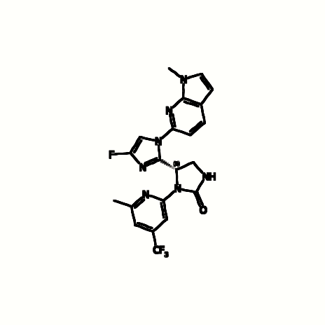 Cc1cc(C(F)(F)F)cc(N2C(=O)NC[C@H]2c2nc(F)cn2-c2ccc3ccn(C)c3n2)n1